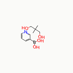 CC(C)(CO)CO.OB(O)c1cccnc1